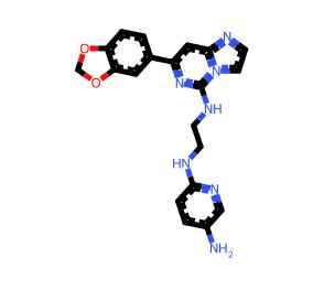 Nc1ccc(NCCNc2nc(-c3ccc4c(c3)OCO4)cc3nccn23)nc1